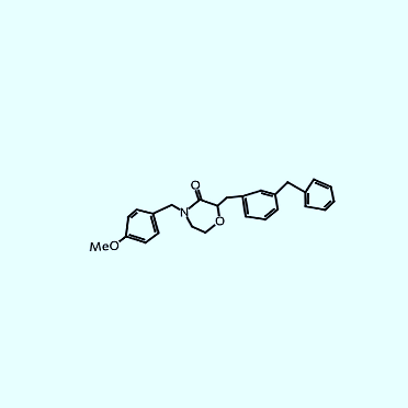 COc1ccc(CN2CCOC(Cc3cccc(Cc4ccccc4)c3)C2=O)cc1